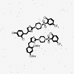 COc1ccc(Cc2csc(N3CCN(S(=O)(=O)c4cc(C(F)(F)F)ccc4Cl)CC3)n2)c(OC)c1.O=S(=O)(c1cc(C(F)(F)F)ccc1Cl)N1CCN(c2nc(Cc3ccc(Cl)cc3Cl)cs2)CC1